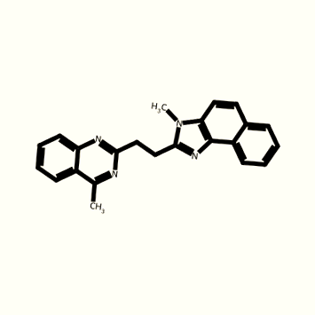 Cc1nc(CCc2nc3c4ccccc4ccc3n2C)nc2ccccc12